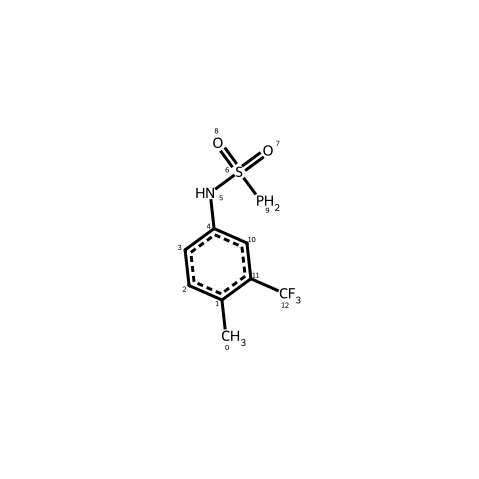 Cc1ccc(NS(=O)(=O)P)cc1C(F)(F)F